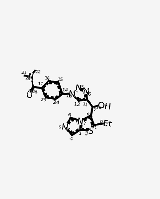 CCc1sc2cncn2c1C(O)c1cn(-c2ccc(C(=O)N(C)C)cc2)nn1